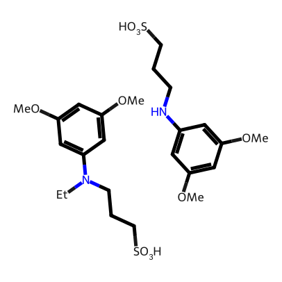 CCN(CCCS(=O)(=O)O)c1cc(OC)cc(OC)c1.COc1cc(NCCCS(=O)(=O)O)cc(OC)c1